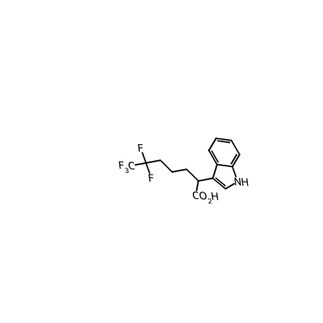 O=C(O)C(CCCC(F)(F)C(F)(F)F)c1c[nH]c2ccccc12